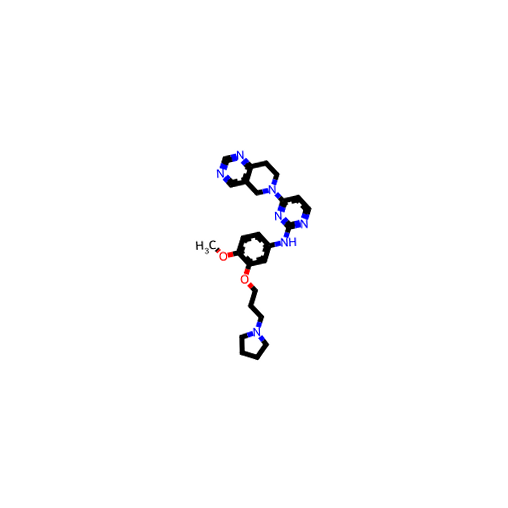 COc1ccc(Nc2nccc(N3CCc4ncncc4C3)n2)cc1OCCCN1CCCC1